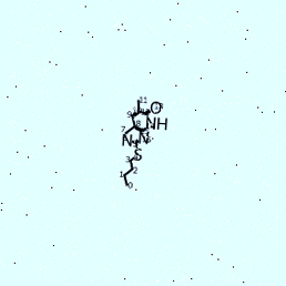 CCCCSc1ncc2cc(C)c(=O)[nH]c2n1